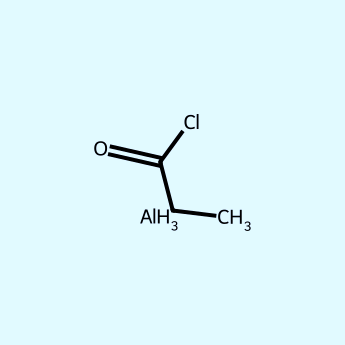 CCC(=O)Cl.[AlH3]